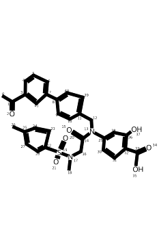 CC(=O)c1cccc(-c2ccc(CN(C(=O)CN(C)S(=O)(=O)c3ccc(C)cc3)c3ccc(C(=O)O)c(O)c3)cc2)c1